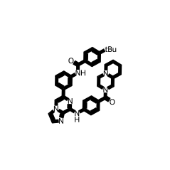 CC(C)(C)c1ccc(C(=O)Nc2cccc(-c3cn4ccnc4c(Nc4ccc(C(=O)N5CCN6CCCCC6C5)cc4)n3)c2)cc1